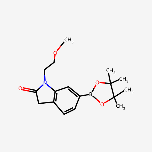 COCCN1C(=O)Cc2ccc(B3OC(C)(C)C(C)(C)O3)cc21